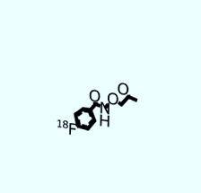 CC(=O)CONC(=O)c1ccc([18F])cc1